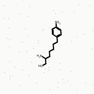 NC(CO)CCCCCc1ccc([N+](=O)[O-])cc1